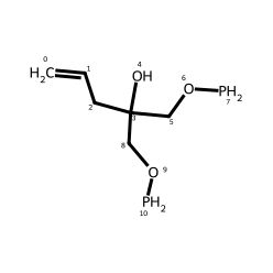 C=CCC(O)(COP)COP